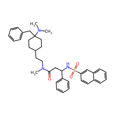 CN(CCC1CCC(Cc2ccccc2)(N(C)C)CC1)C(=O)CC(NS(=O)(=O)c1ccc2ccccc2c1)c1ccccc1